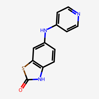 O=c1[nH]c2ccc(Nc3ccncc3)cc2s1